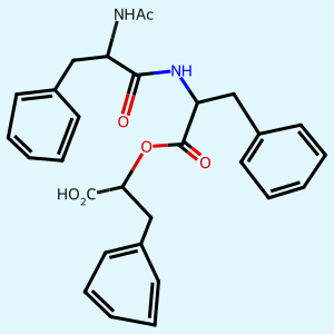 CC(=O)NC(Cc1ccccc1)C(=O)NC(Cc1ccccc1)C(=O)OC(Cc1ccccc1)C(=O)O